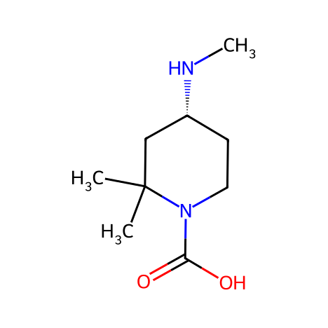 CN[C@@H]1CCN(C(=O)O)C(C)(C)C1